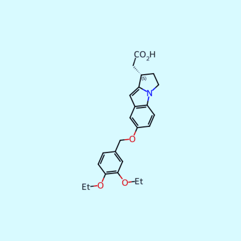 CCOc1ccc(COc2ccc3c(c2)cc2n3CC[C@H]2CC(=O)O)cc1OCC